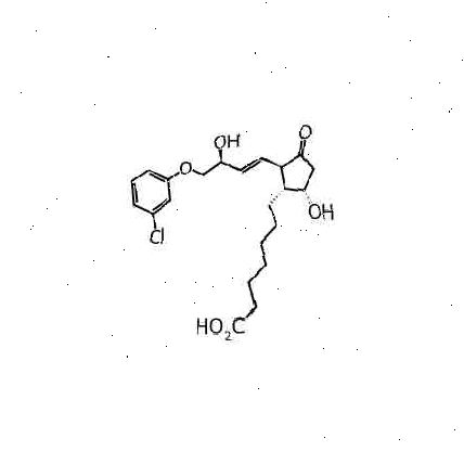 O=C(O)CCCCCC[C@H]1[C@@H](O)CC(=O)[C@@H]1/C=C/[C@H](O)COc1cccc(Cl)c1